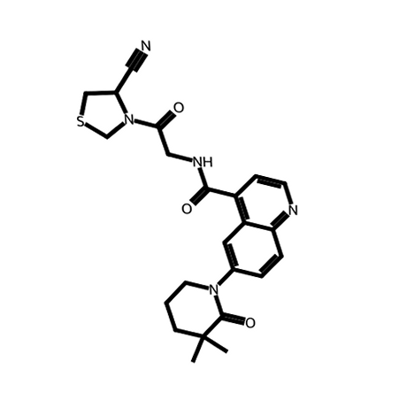 CC1(C)CCCN(c2ccc3nccc(C(=O)NCC(=O)N4CSCC4C#N)c3c2)C1=O